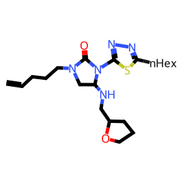 C=CCCCN1CC(NCC2CCCO2)N(c2nnc(CCCCCC)s2)C1=O